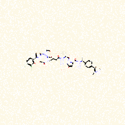 Cc1ncsc1-c1ccc([C@H](C)NC(=O)[C@@H]2C=C(O)CN2C(=O)[C@@H](NC(=O)CCCNC(=O)COc2c(-c3csc(N4CCOCC4)n3)ccc(F)c2F)C(C)(C)C)cc1